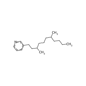 CCCCC(C)CCCC(C)CCc1cccnc1